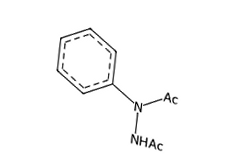 CC(=O)NN(C(C)=O)c1ccccc1